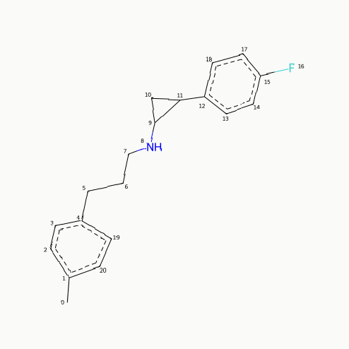 Cc1ccc(CCCNC2CC2c2ccc(F)cc2)cc1